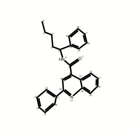 CCCCC(NC(=O)c1cc(-c2ccccc2)nc2ccccc12)c1ccccc1